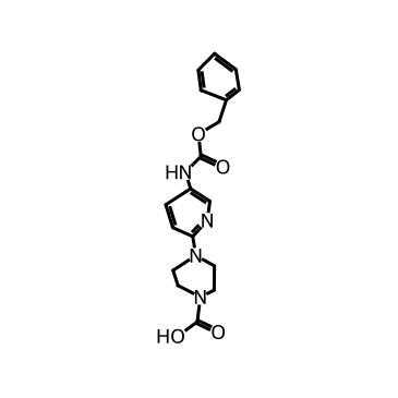 O=C(Nc1ccc(N2CCN(C(=O)O)CC2)nc1)OCc1ccccc1